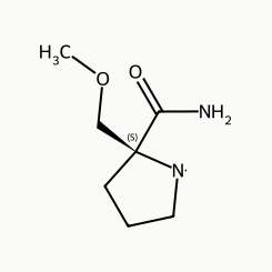 COC[C@]1(C(N)=O)CCC[N]1